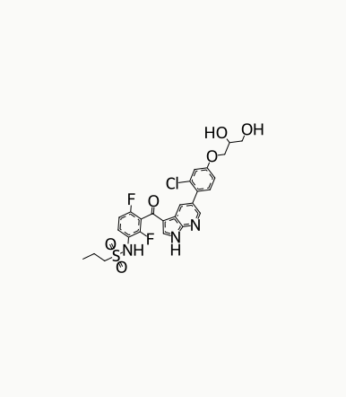 CCCS(=O)(=O)Nc1ccc(F)c(C(=O)c2c[nH]c3ncc(-c4ccc(OCC(O)CO)cc4Cl)cc23)c1F